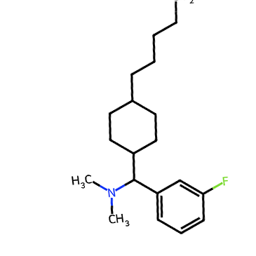 CN(C)C(c1cccc(F)c1)C1CCC(CCCCC(=O)O)CC1